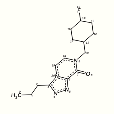 CCCc1nnc2c(=O)n(CC3CCC(F)CC3)ccn12